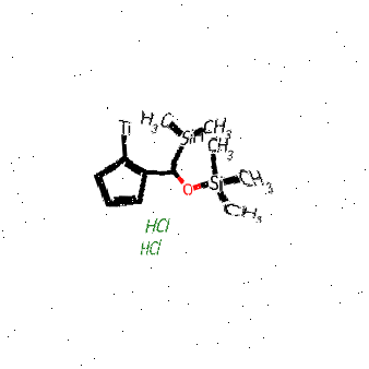 C[SiH](C)C(O[Si](C)(C)C)C1=[C]([Ti])CC=C1.Cl.Cl